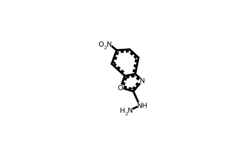 NNc1nc2ccc([N+](=O)[O-])cc2o1